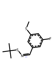 CSc1cc(F)cc(/C=N\SC(C)(C)C)c1